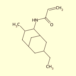 C=CC(=O)NC1C(C)CC2CC(CC)CC1C2